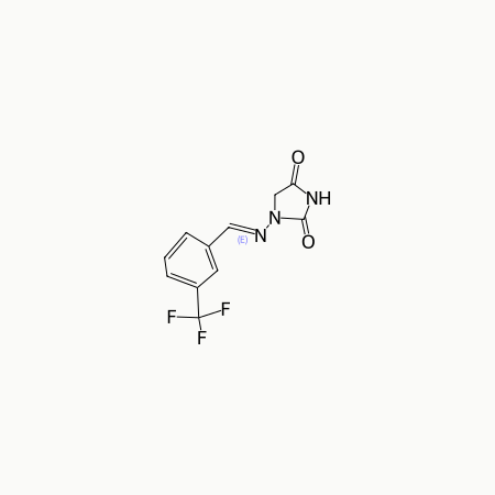 O=C1CN(/N=C/c2cccc(C(F)(F)F)c2)C(=O)N1